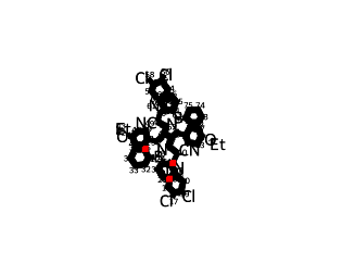 CCOc1ccc(-c2c3/c(=C(\C#N)c4cnc5cc(Cl)c(Cl)cc5n4)n(B(c4ccccc4)c4ccccc4)c(-c4ccc(OCC)cc4)c3/c(=C(\C#N)c3cnc4cc(Cl)c(Cl)cc4n3)n2B(c2ccccc2)c2ccccc2)cc1